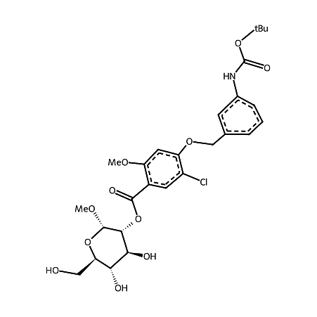 COc1cc(OCc2cccc(NC(=O)OC(C)(C)C)c2)c(Cl)cc1C(=O)O[C@H]1[C@@H](OC)O[C@H](CO)[C@@H](O)[C@@H]1O